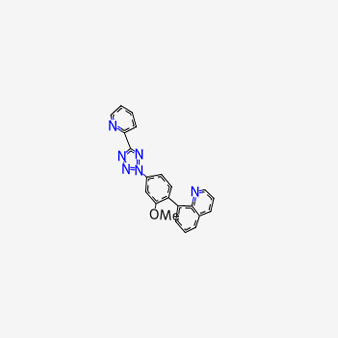 COc1cc(-n2nnc(-c3ccccn3)n2)ccc1-c1cccc2cccnc12